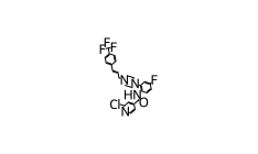 O=C(Nc1ccc(F)cc1N1CCN(CC=Cc2ccc(C(F)(F)F)cc2)CC1)c1ccnc(Cl)c1